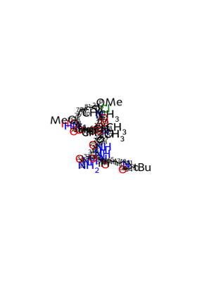 COc1cc2cc(c1Cl)N(C)C(=O)C[C@H](OC(=O)[C@H](C)N(C)C(=O)c1ccc(NC(=O)[C@H](CCCNC(N)=O)NC(=O)[C@@H](NC(=O)CCCCCN3CC(C(C)(C)C)CC3=O)C(C)C)cc1)[C@]1(C)O[C@H]1[C@H](C)[C@@H]1C[C@@](O)(NC(=O)O1)[C@H](OC)/C=C/C=C(\C)C2